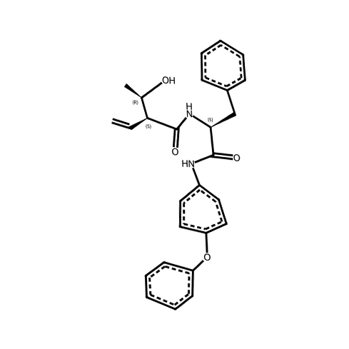 C=C[C@H](C(=O)N[C@@H](Cc1ccccc1)C(=O)Nc1ccc(Oc2ccccc2)cc1)[C@@H](C)O